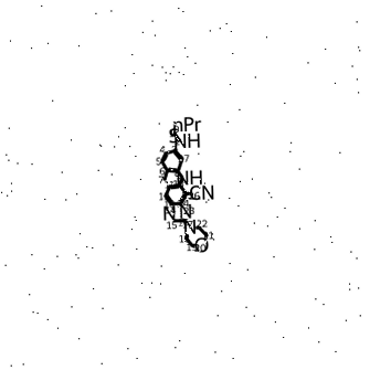 CCCSNc1ccc(C)c(Nc2ccc3ncc(N4CCOCC4)nc3c2C#N)c1